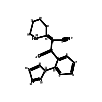 N#CC(C(=O)c1ccccc1-n1cnnn1)=C1CCCCN1